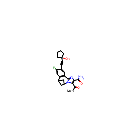 CNC(=O)c1c(C(N)=O)nc2n1C1CC(C1)c1cc(F)c(C#CC3(O)CCCC3)cc1-2